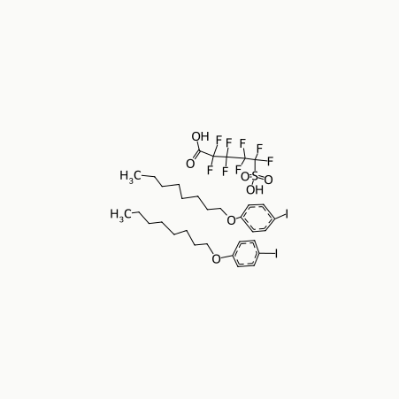 CCCCCCCCOc1ccc(I)cc1.CCCCCCCCOc1ccc(I)cc1.O=C(O)C(F)(F)C(F)(F)C(F)(F)C(F)(F)S(=O)(=O)O